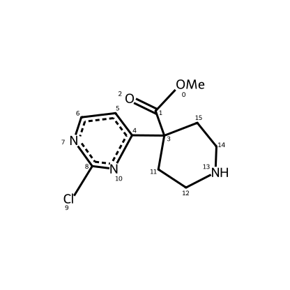 COC(=O)C1(c2ccnc(Cl)n2)CCNCC1